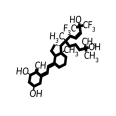 C=C1/C(=C\C=C2/CCC[C@@]3(C)C2CC[C@@H]3[C@@](C)(C/C=C\C(O)(C(F)(F)F)C(F)(F)F)CCCC(C)(C)O)C[C@@H](O)C[C@@H]1O